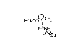 CC[C@H](C#Cc1c(OCCO)cccc1C(F)(F)F)NC(=O)OC(C)(C)C